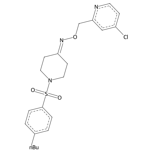 CCCCc1ccc(S(=O)(=O)N2CCC(=NOCc3cc(Cl)ccn3)CC2)cc1